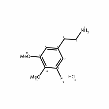 COc1cc(CCN)cc(F)c1OC.Cl